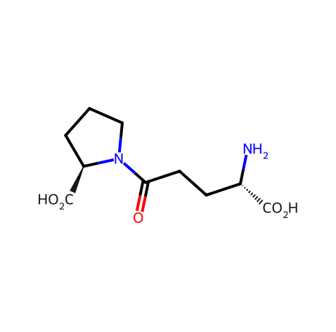 N[C@@H](CCC(=O)N1CCC[C@@H]1C(=O)O)C(=O)O